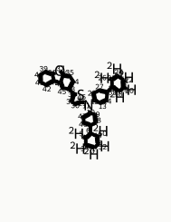 [2H]c1c([2H])c([2H])c(-c2ccc(N(c3ccc(-c4c([2H])c([2H])c([2H])c([2H])c4[2H])cc3)c3ccc(-c4ccc5oc6ccccc6c5c4)s3)cc2)c([2H])c1[2H]